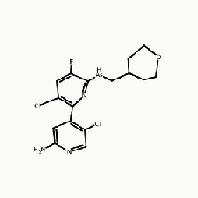 Nc1cc(-c2nc([AsH]CC3CCOCC3)c(F)cc2Cl)c(Cl)cn1